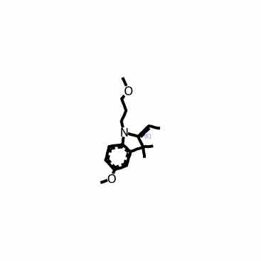 C/C=C1/N(CCCOC)c2ccc(OC)cc2C1(C)C